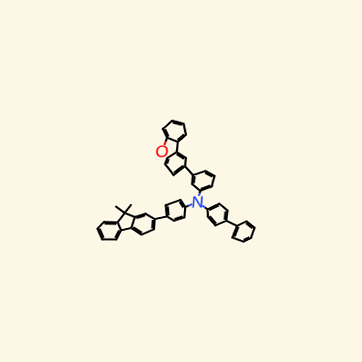 CC1(C)c2ccccc2-c2ccc(-c3ccc(N(c4ccc(-c5ccccc5)cc4)c4cccc(-c5ccc6oc7ccccc7c6c5)c4)cc3)cc21